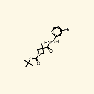 CC(C)(C)OC(=O)N1CC(C)(C(=O)NNc2cc(Br)ccn2)C1